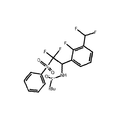 CC(C)(C)[S+]([O-])NC(c1cccc(C(F)F)c1F)C(F)(F)S(=O)(=O)c1ccccc1